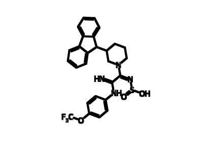 N=C(Nc1ccc(OC(F)(F)F)cc1)/C(=N\S(=O)O)N1CCCC(C2c3ccccc3-c3ccccc32)C1